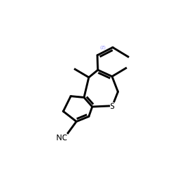 C/C=C\C1=C(C)CSC2=C(CCC(C#N)=C2)C1C